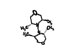 C[C@@H]1COC[C@@H](C)N1N1[C@H](C)COC[C@H]1C